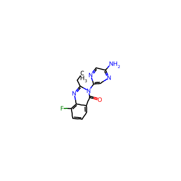 CCc1nc2c(F)cccc2c(=O)n1-c1cnc(N)cn1